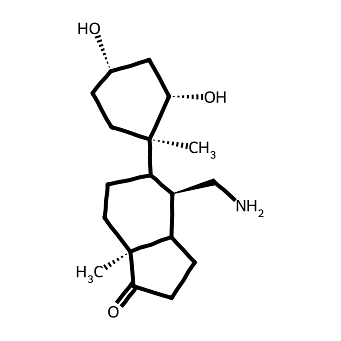 C[C@]12CCC([C@@]3(C)CC[C@H](O)C[C@@H]3O)[C@@H](CN)C1CCC2=O